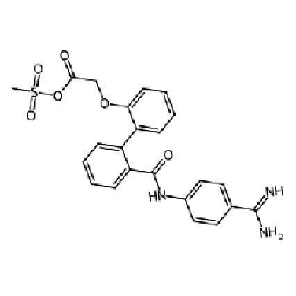 CS(=O)(=O)OC(=O)COc1ccccc1-c1ccccc1C(=O)Nc1ccc(C(=N)N)cc1